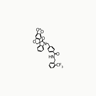 O=C(NCc1ccccc1C(F)(F)F)c1ccc(CN2C(=O)C3(COc4cc5c(cc43)OCO5)c3ccccc32)cc1